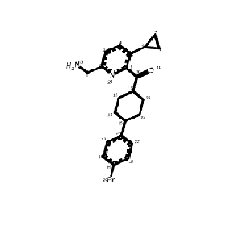 NCc1ccc(C2CC2)c(C(=O)C2CCC(c3ccc(Br)cc3)CC2)n1